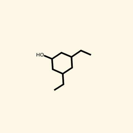 CCC1CC(O)CC(CC)C1